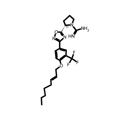 CCCCCC=CCOc1ccc(-c2noc([C@@H]3CCCN3C(=N)N)n2)cc1C(F)(F)F